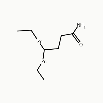 C[CH2][Zn][CH](CCC(N)=O)[Zn][CH2]C